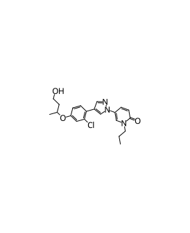 CCCn1cc(-n2cc(-c3ccc(OC(C)CCO)cc3Cl)cn2)ccc1=O